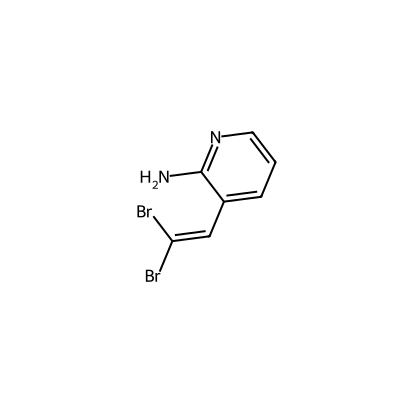 Nc1ncccc1C=C(Br)Br